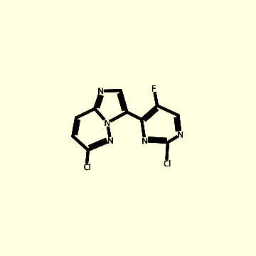 Fc1cnc(Cl)nc1-c1cnc2ccc(Cl)nn12